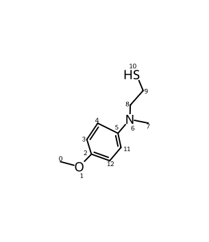 COc1ccc(N(C)CCS)cc1